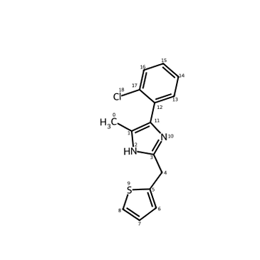 Cc1[nH]c(Cc2cccs2)nc1-c1ccccc1Cl